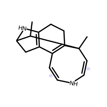 CC1C2CC3=C(CCC4=C3/C=C\N/C=C\C41C)N2